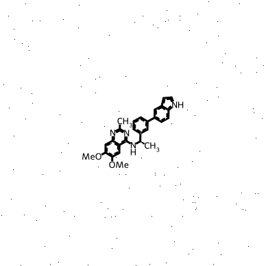 COc1cc2nc(C)nc(N[C@H](C)c3cccc(-c4ccc5[nH]ccc5c4)c3)c2cc1OC